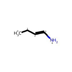 CCC=CN